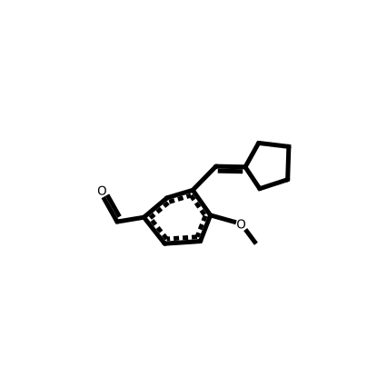 COc1ccc(C=O)cc1C=C1CCCC1